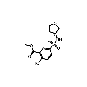 COC(=O)c1cc(S(=O)(=O)N[C@H]2CCOC2)ccc1O